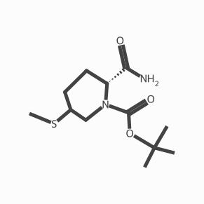 CSC1CC[C@H](C(N)=O)N(C(=O)OC(C)(C)C)C1